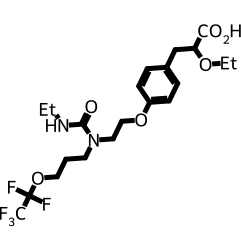 CCNC(=O)N(CCCOC(F)(F)C(F)(F)F)CCOc1ccc(CC(OCC)C(=O)O)cc1